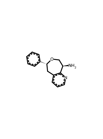 N[C@@H]1CO[C@@H](c2ccccc2)Cc2cccnc21